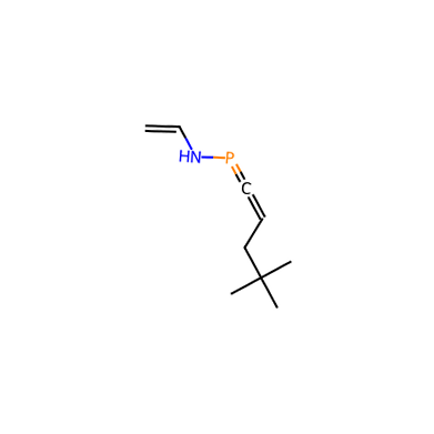 C=CNP=C=CCC(C)(C)C